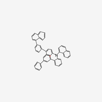 c1ccc(-c2cccc(-c3ccccc3N(c3ccc(-c4cccc(-c5cccc6ccccc56)c4)cc3)c3cccc4ccccc34)c2)cc1